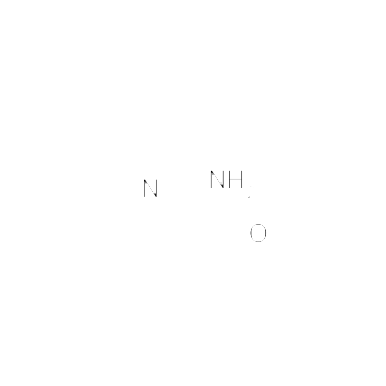 CN(C)[NH2+][O-]